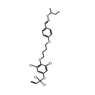 C=CC(Cl)(Cl)Oc1cc(Cl)c(OCCCCOc2ccc(C=NOC(C)CC)cc2)c(Cl)c1